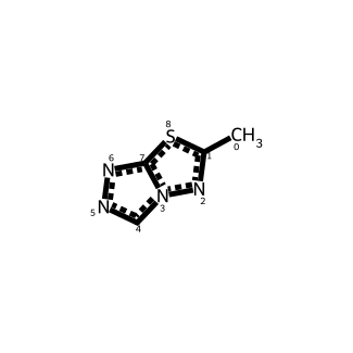 Cc1nn2cnnc2s1